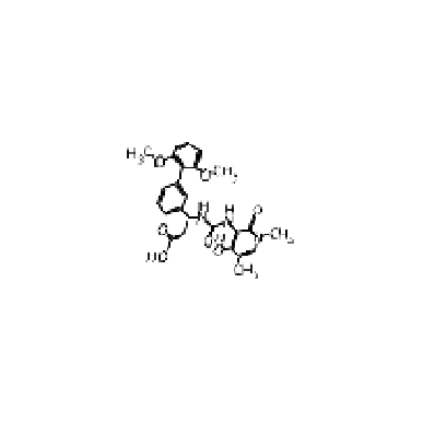 COc1cccc(OC)c1-c1cccc([C@H](CC(=O)O)NC(=O)Nc2c(O)c(C)cn(C)c2=O)c1